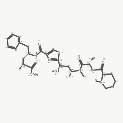 COC(=O)[C@@H](C)C[C@H](Cc1ccccc1)NC(=O)c1csc([C@@H](C[C@H](C(C)C)N(C)C(=O)[C@@H](NC(=O)[C@H]2CCCCN2C)C(C)C)OC(C)=O)n1